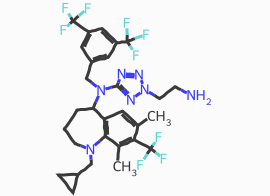 Cc1cc2c(c(C)c1C(F)(F)F)N(CC1CC1)CCCC2N(Cc1cc(C(F)(F)F)cc(C(F)(F)F)c1)c1nnn(CCN)n1